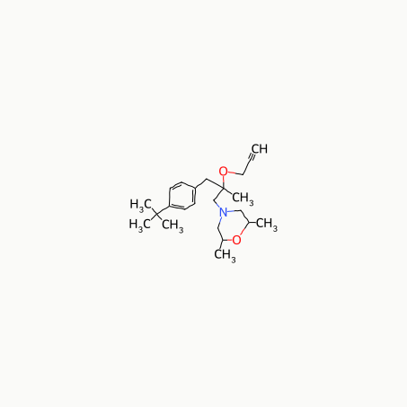 C#CCOC(C)(Cc1ccc(C(C)(C)C)cc1)CN1CC(C)OC(C)C1